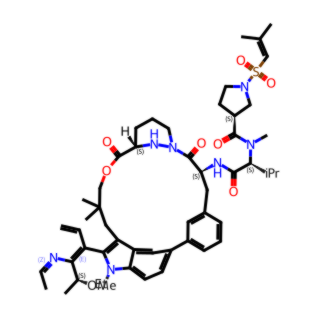 C=C/C(=C(\N=C/C)[C@H](C)OC)c1c2c3cc(ccc3n1CC)-c1cccc(c1)C[C@H](NC(=O)[C@H](C(C)C)N(C)C(=O)[C@H]1CCN(S(=O)(=O)C=C(C)C)C1)C(=O)N1CCC[C@H](N1)C(=O)OCC(C)(C)C2